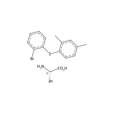 CC(C)[C@H](N)C(=O)O.Cc1ccc(Sc2ccccc2Br)c(C)c1